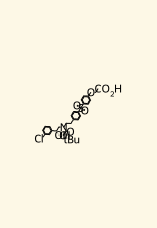 CC(C)(C)OC(=O)N(CCc1ccc(S(=O)(=O)c2ccc(OCC(=O)O)cc2)cc1)C[C@H](O)c1cccc(Cl)c1